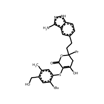 Cc1cc(SC2=C(O)CC(CCc3ccc4[nH]nc(N)c4c3)(C(C)C)OC2=O)c(C(C)(C)C)cc1CO